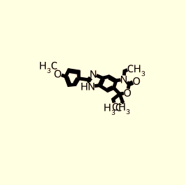 CCN1C(=O)OC(CC)(CC)c2cc3[nH]c(-c4ccc(OC)cc4)nc3cc21